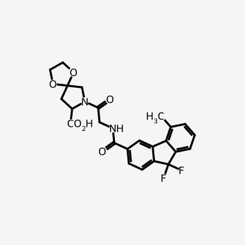 Cc1cccc2c1-c1cc(C(=O)NCC(=O)N3CC4(CC3C(=O)O)OCCO4)ccc1C2(F)F